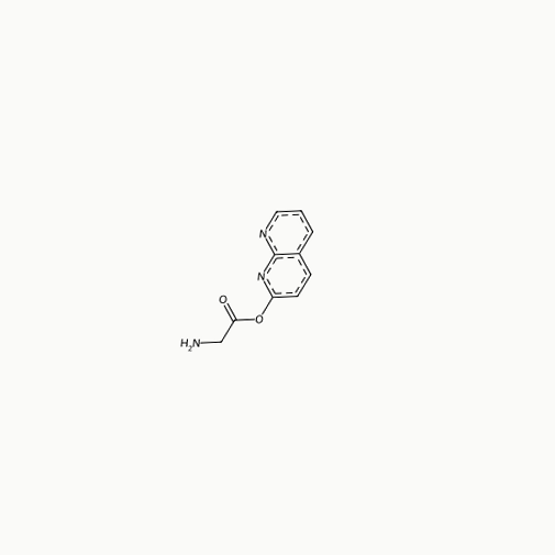 NCC(=O)Oc1ccc2cccnc2n1